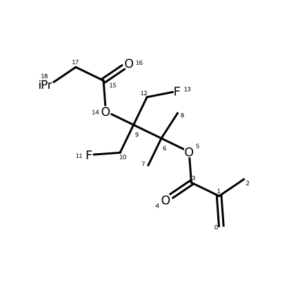 C=C(C)C(=O)OC(C)(C)C(CF)(CF)OC(=O)CC(C)C